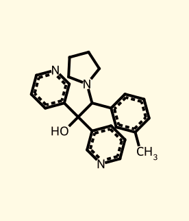 Cc1cccc(C(N2CCCC2)C(O)(c2cccnc2)c2cccnc2)c1